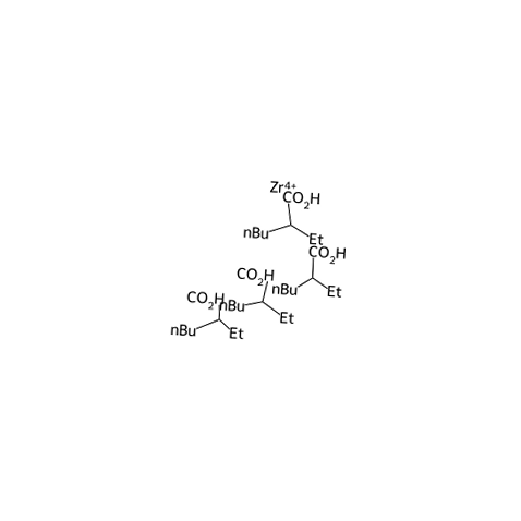 CCCCC(CC)C(=O)O.CCCCC(CC)C(=O)O.CCCCC(CC)C(=O)O.CCCCC(CC)C(=O)O.[Zr+4]